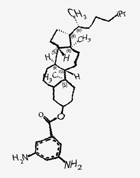 CC(C)CCC[C@@H](C)[C@H]1CC[C@H]2[C@@H]3CCC4CC(OC(=O)c5cc(N)cc(N)c5)CC[C@]4(C)[C@H]3CC[C@]12C